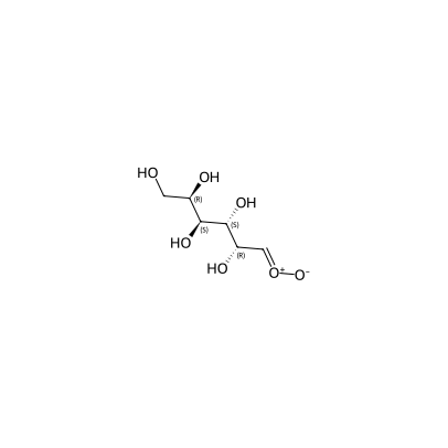 [O-][O+]=C[C@H](O)[C@@H](O)[C@@H](O)[C@H](O)CO